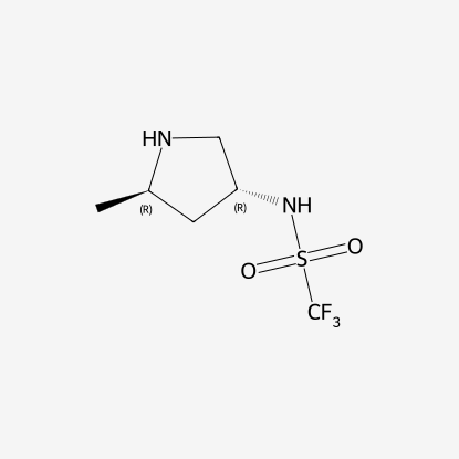 C[C@@H]1C[C@@H](NS(=O)(=O)C(F)(F)F)CN1